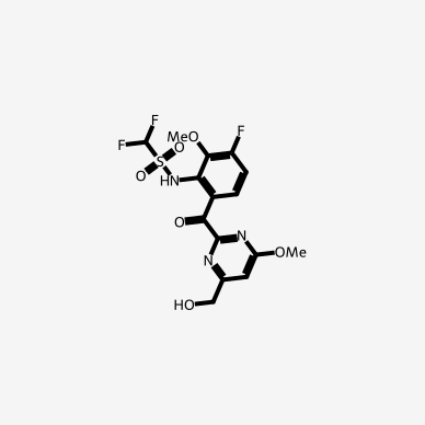 COc1cc(CO)nc(C(=O)c2ccc(F)c(OC)c2NS(=O)(=O)C(F)F)n1